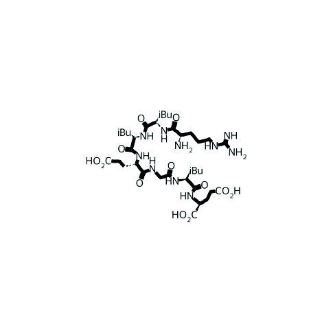 CC[C@H](C)[C@H](NC(=O)CNC(=O)[C@H](CCC(=O)O)NC(=O)[C@@H](NC(=O)[C@@H](NC(=O)[C@@H](N)CCCNC(=N)N)[C@@H](C)CC)[C@@H](C)CC)C(=O)N[C@@H](CCC(=O)O)C(=O)O